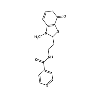 CN1C2=C(SC1CCNC(=O)c1ccncc1)C(=O)CC=C2